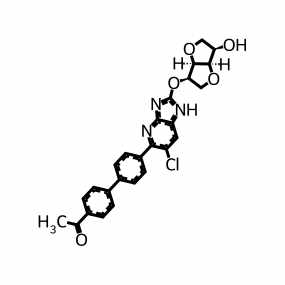 CC(=O)c1ccc(-c2ccc(-c3nc4nc(O[C@@H]5CO[C@H]6[C@@H]5OC[C@H]6O)[nH]c4cc3Cl)cc2)cc1